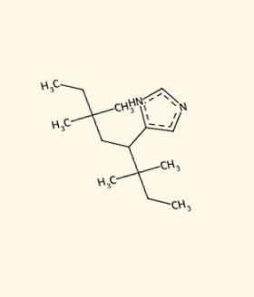 CCC(C)(C)CC(c1cnc[nH]1)C(C)(C)CC